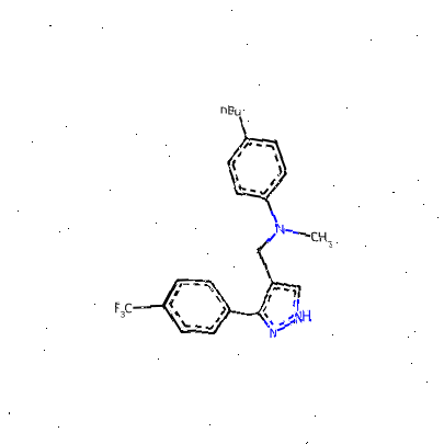 CCCCc1ccc(N(C)Cc2c[nH]nc2-c2ccc(C(F)(F)F)cc2)cc1